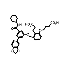 O=C(O)CCCOc1cccc(COc2cc(C(=O)NC3CCCCC3)cc(-c3ccc4c(c3)OCO4)c2)c1CCC(=O)O